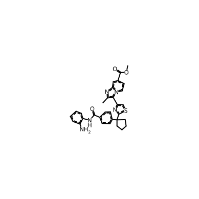 COC(=O)c1ccn2c(-c3csc(C4(c5ccc(C(=O)Nc6ccccc6N)cc5)CCCC4)n3)c(C)nc2c1